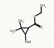 CC1(C)C(C=O)C1C(=O)OCC(Cl)(Cl)Cl